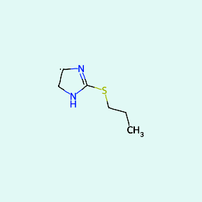 CCCSC1=N[CH]CN1